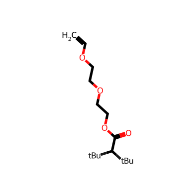 C=COCCOCCOC(=O)C(C(C)(C)C)C(C)(C)C